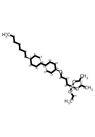 CCCCCCC[C@H]1CC[C@H]([C@H]2CC[C@H](OCCC[Si](OCC)(OCC)OCC)CC2)CC1